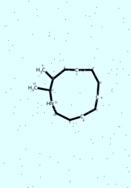 CC1CCCCCCCCCNC1C